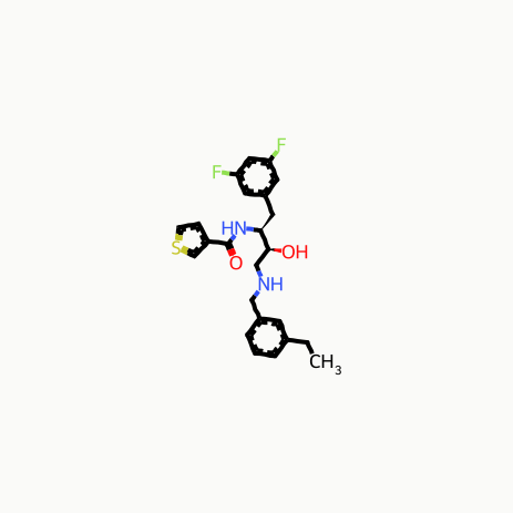 CCc1cccc(CNC[C@H](O)[C@H](Cc2cc(F)cc(F)c2)NC(=O)c2ccsc2)c1